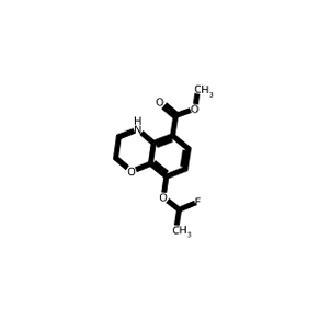 COC(=O)c1ccc(OC(C)F)c2c1NCCO2